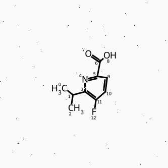 CC(C)c1nc(C(=O)O)ccc1F